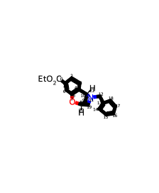 CCOC(=O)c1ccc2c(c1)O[C@H]1C[C@@H]2N(Cc2ccccc2)C1